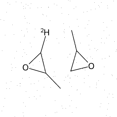 CC1CO1.[2H]C1OC1C